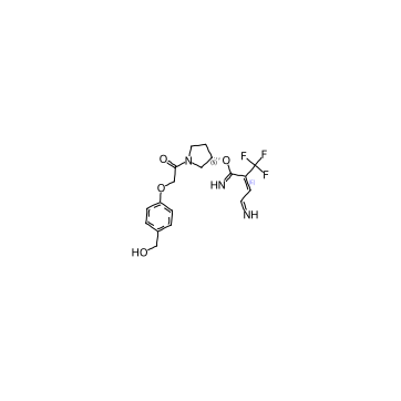 N=C/C=C(\C(=N)O[C@H]1CCN(C(=O)COc2ccc(CO)cc2)C1)C(F)(F)F